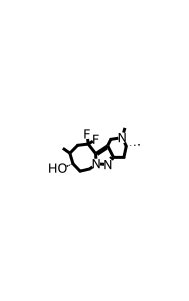 CC1CC(F)(F)c2c3c(nn2CC[C@@H]1O)C[C@@H](C)N(C)C3